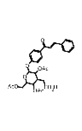 CC(=O)OCC1OC(Oc2ccc(C(=O)C=Cc3ccccc3)cc2)C(OC(C)=O)C(CC(=O)O)C1OC(C)=O